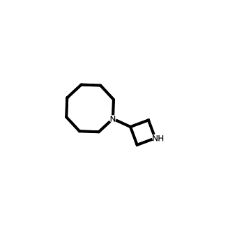 C1CCCN(C2CNC2)CCC1